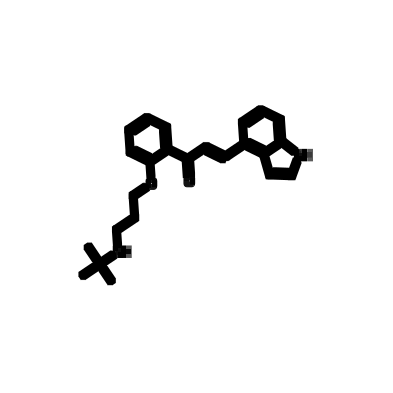 CC(C)(C)NCCCOc1ccccc1C(=O)/C=C/c1cccc2[nH]ccc12